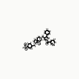 CS(=O)(=O)c1ccc(CN2CCC3(CCN(CC4CN(C(=O)c5cccnc5)CC4c4ccccc4)CC3)C2=O)cc1